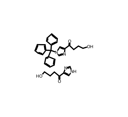 O=C(CCCO)c1c[nH]cn1.O=C(CCCO)c1cn(C(c2ccccc2)(c2ccccc2)c2ccccc2)cn1